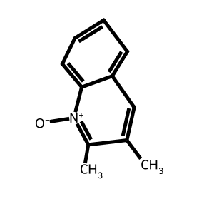 Cc1cc2ccccc2[n+]([O-])c1C